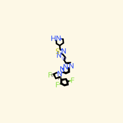 Fc1ccc(F)c([C@H]2C[C@H](F)CN2c2ccc3ncc(/C=C/c4nsc(C5CCNCC5)n4)n3n2)c1